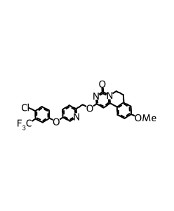 COc1ccc2c(c1)CCn1c-2cc(OCc2ccc(Oc3ccc(Cl)c(C(F)(F)F)c3)cn2)nc1=O